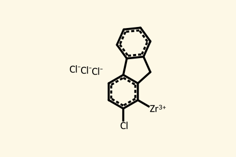 Clc1ccc2c([c]1[Zr+3])Cc1ccccc1-2.[Cl-].[Cl-].[Cl-]